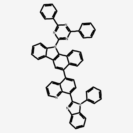 c1ccc(-c2nc(-c3ccccc3)nc(-n3c4ccccc4c4cc(-c5ccc(-c6nc7ccccc7n6-c6ccccc6)c6ncccc56)c5ccccc5c43)n2)cc1